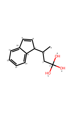 CC(CC(O)(O)O)C1C=Cc2ccccc21